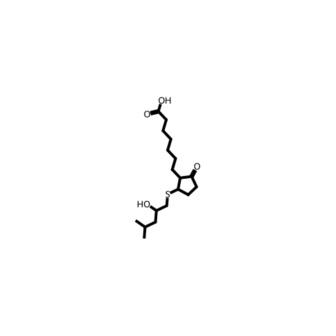 CC(C)CC(O)CSC1CCC(=O)C1CCCCCCC(=O)O